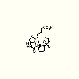 C/C=C\S(=O)(=O)c1ccccn1.O=C(O)CCCC[C@@H]1SC[C@@H]2NC(=O)N[C@@H]21